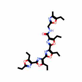 CCc1nc(-c2nc(-c3nc(-c4nc(C(=O)NCc5nc(C)c(CC)o5)c(CC)o4)c(CC)o3)c(CC)o2)c(CC)o1